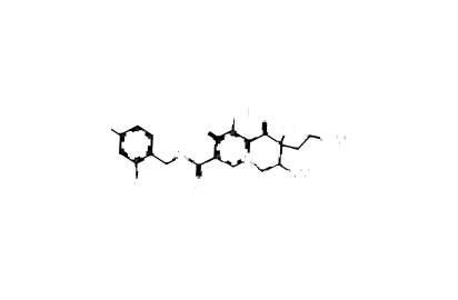 CNC1Cn2cc(C(=O)NCc3ccc(F)cc3F)c(=O)c(O)c2C(=O)C1(C)CCOC